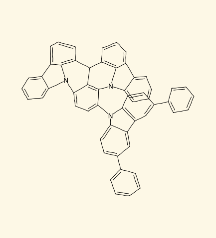 c1ccc(-c2ccc3c(c2)c2cc(-c4ccccc4)ccc2n3-c2ccc3c4c2-n2c5ccccc5c5cccc(c52)C4c2cccc4c5ccccc5n-3c24)cc1